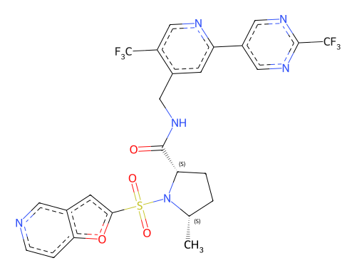 C[C@H]1CC[C@@H](C(=O)NCc2cc(-c3cnc(C(F)(F)F)nc3)ncc2C(F)(F)F)N1S(=O)(=O)c1cc2cnccc2o1